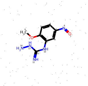 COc1ccc(N=O)cc1NC(=N)NN